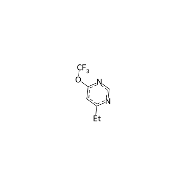 CCc1cc(OC(F)(F)F)ncn1